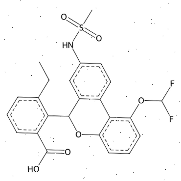 CCc1cccc(C(=O)O)c1C1Oc2cccc(OC(F)F)c2-c2ccc(NS(C)(=O)=O)cc21